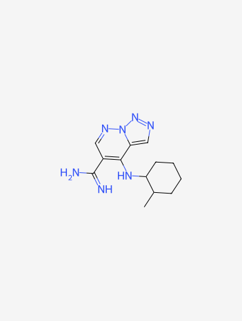 CC1CCCCC1Nc1c(C(=N)N)cnn2nncc12